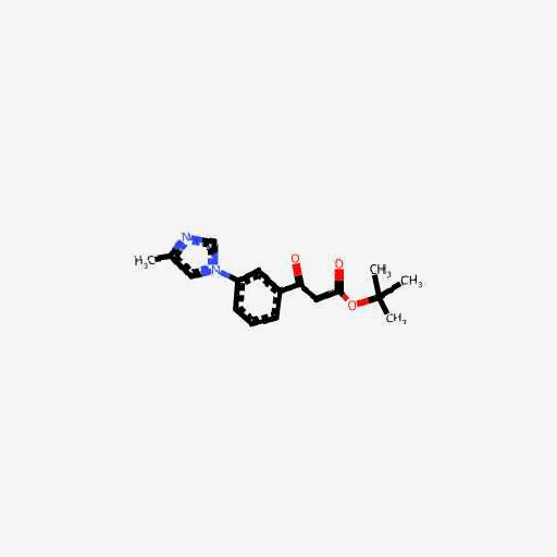 Cc1cn(-c2cccc(C(=O)CC(=O)OC(C)(C)C)c2)cn1